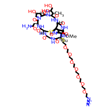 CC[C@H](C)[C@@H]1NC(=O)CNC(=O)[C@@H]2Cc3c([nH]c4c(CSCCOCCOCCOCCOCCOCCOCCOCCN=[N+]=[N-])c(OC)ccc34)[S+]([O-])C[C@H](NC(=O)CNC1=O)C(=O)N[C@@H](CC(N)=O)C(=O)N1C[C@H](O)C[C@H]1C(=O)N[C@@H]([C@@H](C)[C@@H](O)CO)C(=O)N2